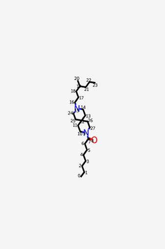 CCCCCCCC(=O)N1CCC2(CCN(CCCC(C)CCC)CC2)CC1